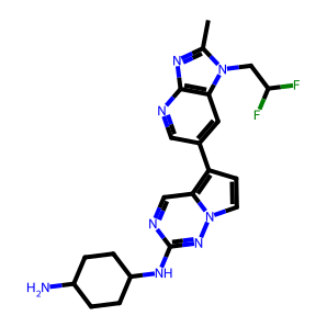 Cc1nc2ncc(-c3ccn4nc(NC5CCC(N)CC5)ncc34)cc2n1CC(F)F